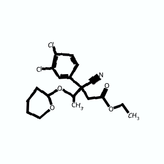 CCOC(=O)CC(C#N)(c1ccc(Cl)c(Cl)c1)C(C)OC1CCCCO1